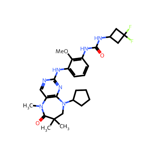 COc1c(NC(=O)NC2CC(F)(F)C2)cccc1Nc1ncc2c(n1)N(C1CCCC1)CC(C)(C)C(=O)N2C